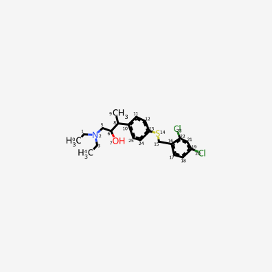 CCN(CC)CC(O)C(C)c1ccc(SCc2ccc(Cl)cc2Cl)cc1